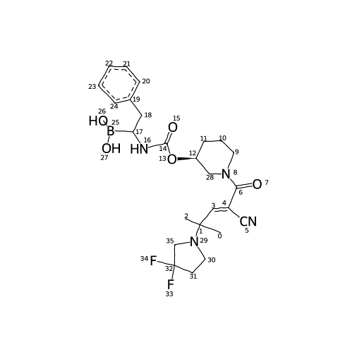 CC(C)(C=C(C#N)C(=O)N1CCC[C@H](OC(=O)NC(Cc2ccccc2)B(O)O)C1)N1CCC(F)(F)C1